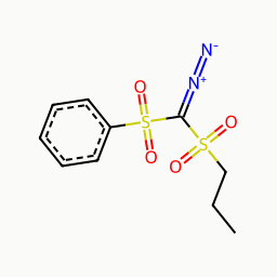 CCCS(=O)(=O)C(=[N+]=[N-])S(=O)(=O)c1ccccc1